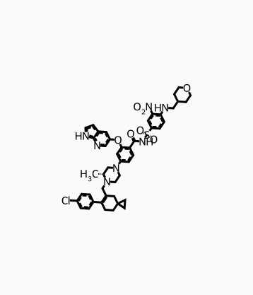 C[C@@H]1CN(c2ccc(C(=O)NS(=O)(=O)c3ccc(NCC4CCOCC4)c([N+](=O)[O-])c3)c(Oc3cnc4[nH]ccc4c3)c2)CCN1CC1=C(c2ccc(Cl)cc2)CCC2(CC2)C1